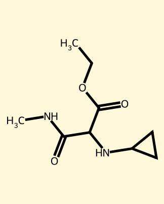 CCOC(=O)C(NC1CC1)C(=O)NC